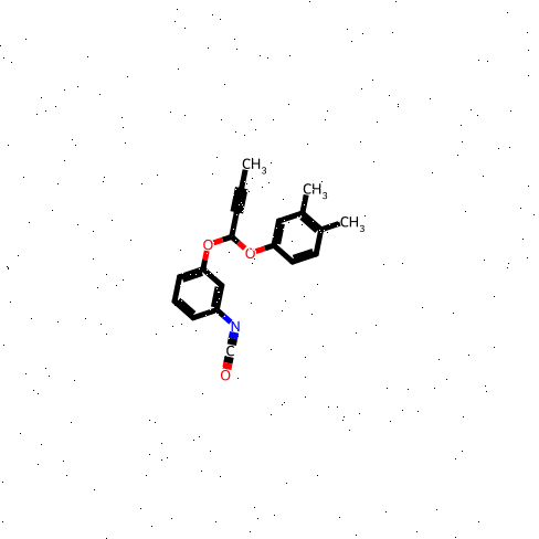 CC#CC(Oc1cccc(N=C=O)c1)Oc1ccc(C)c(C)c1